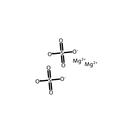 O=S(=O)([O-])[O-].O=S(=O)([O-])[O-].[Mg+2].[Mg+2]